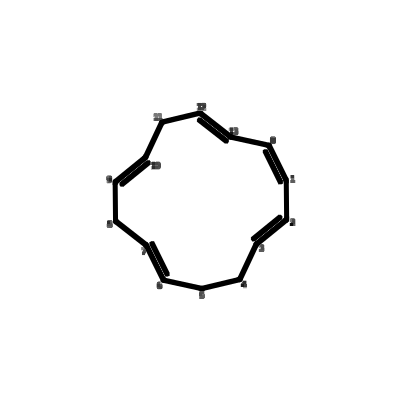 C1=C\C=C\CC/C=C/C/C=C/C/C=C/1